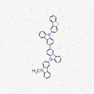 Cn1c2ccccc2c2cc(-n3c4ccccc4c4cc(-c5ccc6c(c5)c5ccccc5n6-c5ccc6sc7ccccc7c6c5)ccc43)ccc21